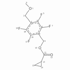 COCc1c(F)c(F)c(COC(=O)C2CC2)c(F)c1F